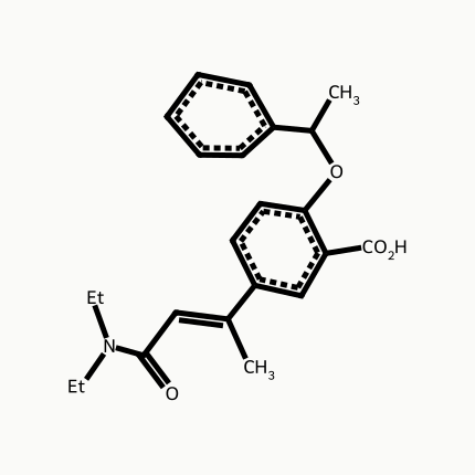 CCN(CC)C(=O)/C=C(\C)c1ccc(OC(C)c2ccccc2)c(C(=O)O)c1